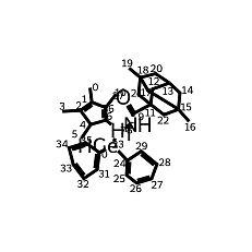 CC1=C(C)C(C)[C]([Hf]([NH]C(=O)C23CC4CC(C)(CC(C)(C4)C2)C3)[GeH]([c]2ccccc2)[c]2ccccc2)=C1C